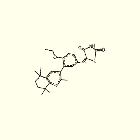 CCOc1ccc(/C=C2/SC(=O)NC2=O)cc1-c1cc2c(cc1C)C(C)(C)CCC2(C)C